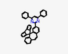 C1=Cc2ccc(-c3nc(-c4ccccc4)cc(-c4ccccc4)n3)cc2C2(c3ccccc31)c1ccccc1-c1ccccc12